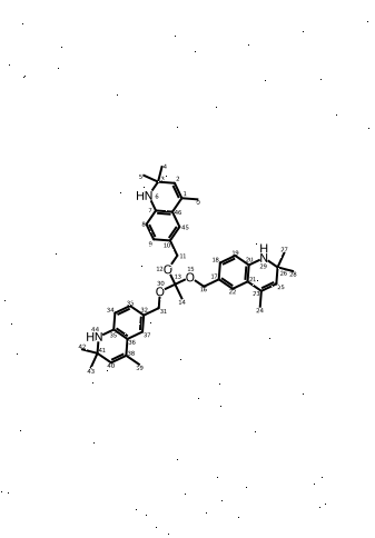 CC1=CC(C)(C)Nc2ccc(COC(C)(OCc3ccc4c(c3)C(C)=CC(C)(C)N4)OCc3ccc4c(c3)C(C)=CC(C)(C)N4)cc21